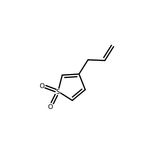 C=CCC1=CS(=O)(=O)C=C1